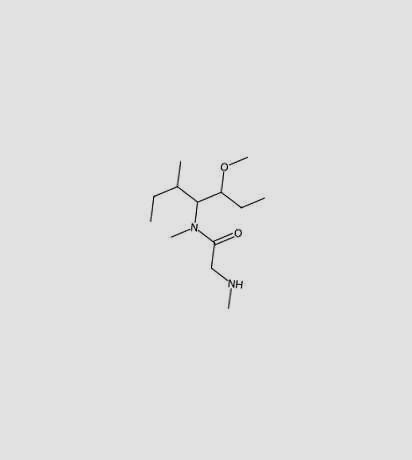 CCC(C)C(C(CC)OC)N(C)C(=O)CNC